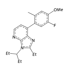 CCc1nc2c(-c3cc(F)c(OC)cc3C)ccnc2n1C(CC)CC